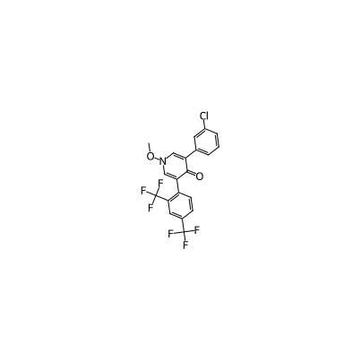 COn1cc(-c2cccc(Cl)c2)c(=O)c(-c2ccc(C(F)(F)F)cc2C(F)(F)F)c1